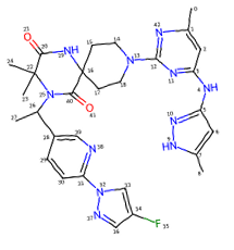 Cc1cc(Nc2cc(C)[nH]n2)nc(N2CCC3(CC2)NC(=O)C(C)(C)N(C(C)c2ccc(-n4cc(F)cn4)nc2)C3=O)n1